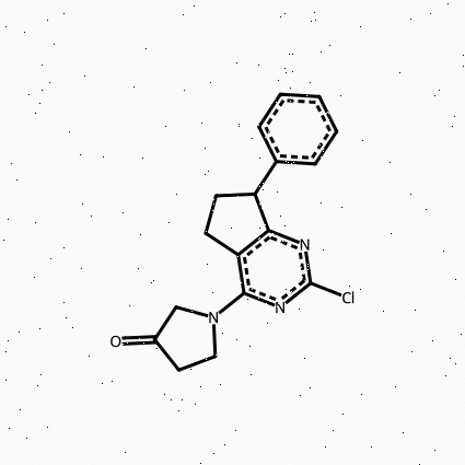 O=C1CCN(c2nc(Cl)nc3c2CCC3c2ccccc2)C1